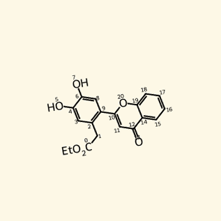 CCOC(=O)Cc1cc(O)c(O)cc1-c1cc(=O)c2ccccc2o1